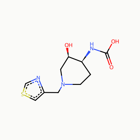 O=C(O)N[C@H]1CCN(Cc2cscn2)C[C@H]1O